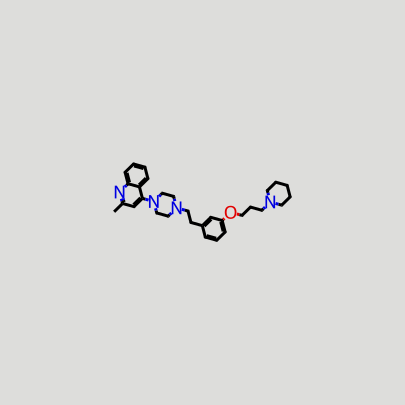 Cc1cc(N2CCN(CCc3cccc(OCCCN4CCCCC4)c3)CC2)c2ccccc2n1